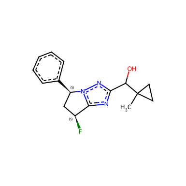 CC1(C(O)c2nc3n(n2)[C@H](c2ccccc2)C[C@@H]3F)CC1